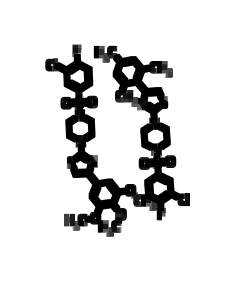 COc1cc(-c2csc(N3CCN(S(=O)(=O)c4ccc(F)c(Cl)c4)CC3)n2)cc(OC)c1OC.Cc1cc(C)c(-c2csc(N3CCN(S(=O)(=O)c4ccc(F)c(Cl)c4)CC3)n2)c(C)c1